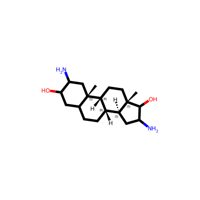 C[C@]12CC(N)C(O)CC1CC[C@@H]1[C@H]2CC[C@]2(C)C(O)C(N)C[C@@H]12